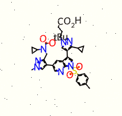 Cc1ccc(S(=O)(=O)n2cc(-c3cn(CCCC(=O)O)nc3C3CC3)c3cc(-c4cn(C)nc4CN(C(=O)OC(C)(C)C)C4CC4)cnc32)cc1